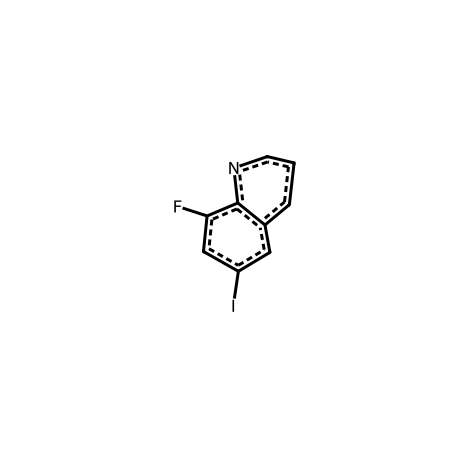 Fc1cc(I)cc2cccnc12